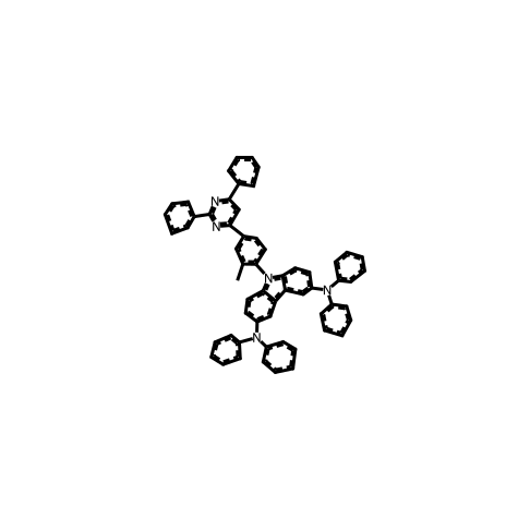 Cc1cc(-c2cc(-c3ccccc3)nc(-c3ccccc3)n2)ccc1-n1c2ccc(N(c3ccccc3)c3ccccc3)cc2c2cc(N(c3ccccc3)c3ccccc3)ccc21